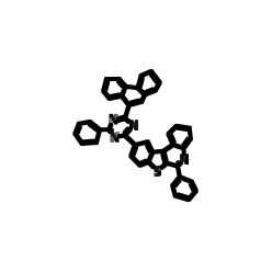 c1ccc(-c2nc(-c3ccc4sc5c(-c6ccccc6)nc6ccccc6c5c4c3)nc(-c3cc4ccccc4c4ccccc34)n2)cc1